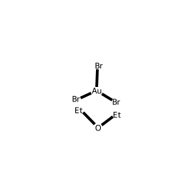 CCOCC.[Br][Au]([Br])[Br]